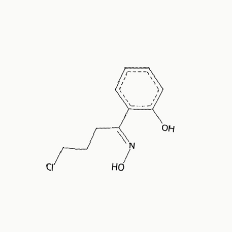 ON=C(CCCCl)c1ccccc1O